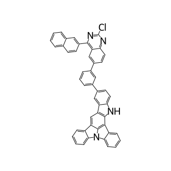 Clc1nc(-c2ccc3ccccc3c2)c2cc(-c3cccc(-c4ccc5[nH]c6c(cc7c8ccccc8n8c9ccccc9c6c78)c5c4)c3)ccc2n1